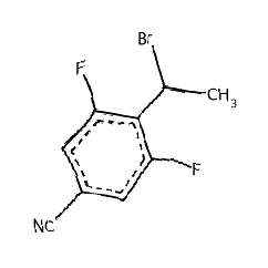 CC(Br)c1c(F)cc(C#N)cc1F